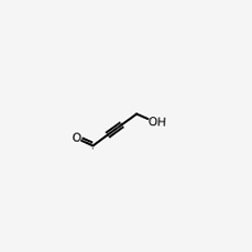 O=[C]C#CCO